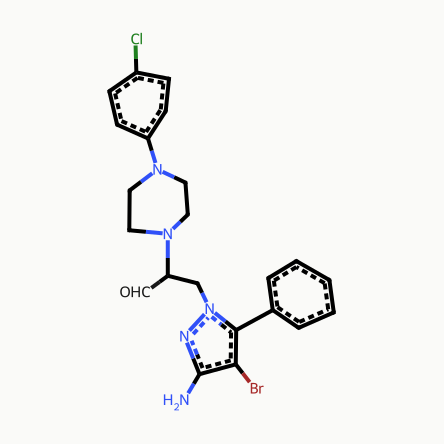 Nc1nn(CC(C=O)N2CCN(c3ccc(Cl)cc3)CC2)c(-c2ccccc2)c1Br